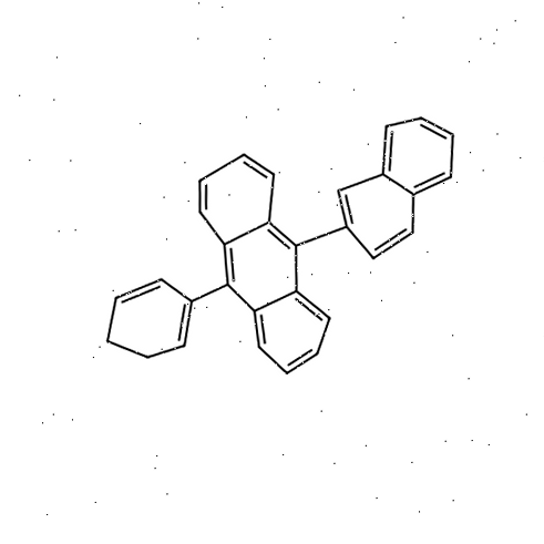 C1=CC(c2c3ccccc3c(-c3ccc4ccccc4c3)c3ccccc23)=CCC1